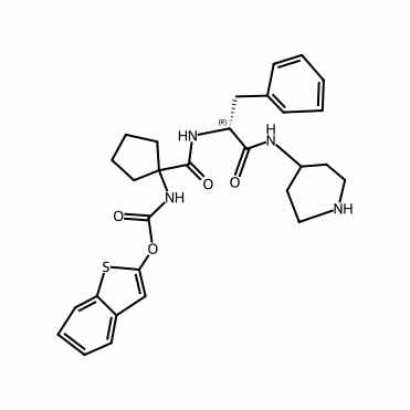 O=C(NC1(C(=O)N[C@H](Cc2ccccc2)C(=O)NC2CCNCC2)CCCC1)Oc1cc2ccccc2s1